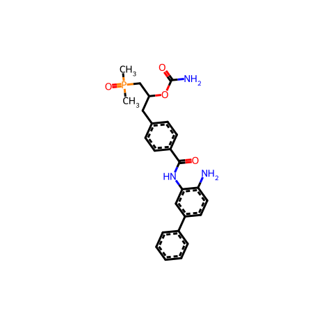 CP(C)(=O)CC(Cc1ccc(C(=O)Nc2cc(-c3ccccc3)ccc2N)cc1)OC(N)=O